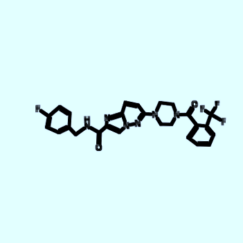 O=C(NCc1ccc(F)cc1)c1cn2nc(N3CCN(C(=O)c4ccccc4C(F)(F)F)CC3)ccc2n1